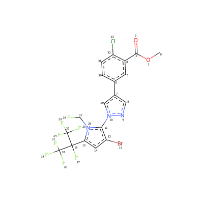 COC(=O)c1cc(-c2cnn(-c3c(Br)cc(C(F)(C(F)(F)F)C(F)(F)F)n3CF)c2)ccc1Cl